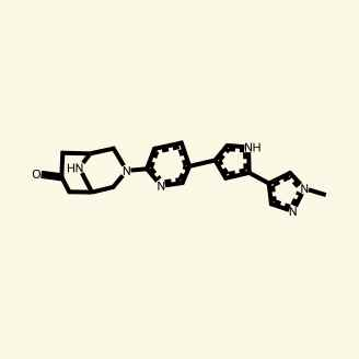 Cn1cc(-c2cc(-c3ccc(N4CC5CC(=O)CC(C4)N5)nc3)c[nH]2)cn1